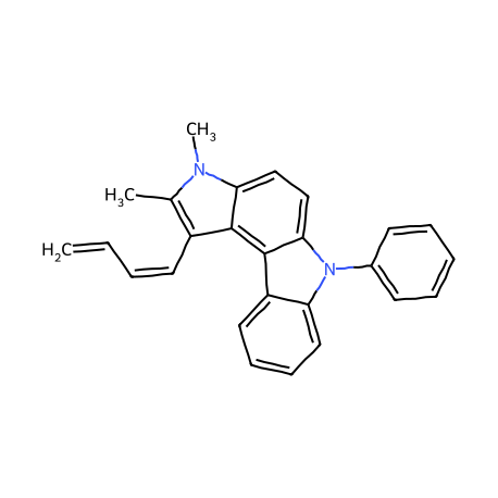 C=C/C=C\c1c(C)n(C)c2ccc3c(c4ccccc4n3-c3ccccc3)c12